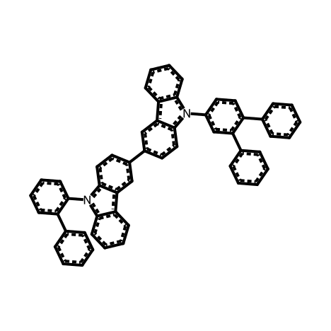 c1ccc(-c2ccc(-n3c4ccccc4c4cc(-c5ccc6c(c5)c5ccccc5n6-c5ccccc5-c5ccccc5)ccc43)cc2-c2ccccc2)cc1